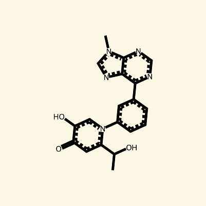 CC(O)c1cc(=O)c(O)cn1-c1cccc(-c2ncnc3c2ncn3C)c1